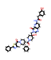 Cc1nc(-c2ccccc2)sc1C(=O)N1CC[C@@H](C(=O)N2CCC(O)(Cn3cnc4ccc(NC(=O)Cc5cccc(O)c5)nc4c3=O)CC2)[C@H](c2ccccc2)C1